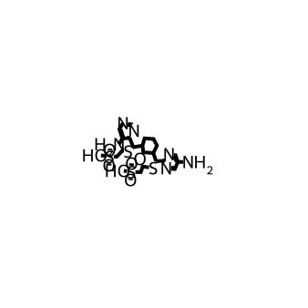 Nc1cnc(C(SCCS(=O)(=O)O)C2CCCC(C(SCCS(=O)(=O)O)c3ncncc3N)C2=O)nc1